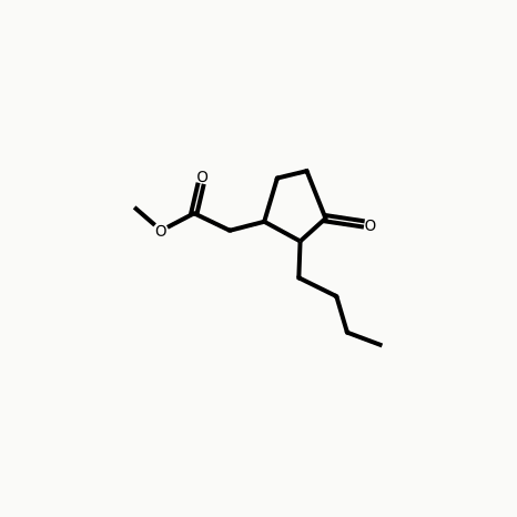 CCCCC1C(=O)CCC1CC(=O)OC